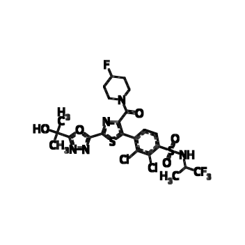 CC(NS(=O)(=O)c1ccc(-c2sc(-c3nnc(C(C)(C)O)o3)nc2C(=O)N2CCC(F)CC2)c(Cl)c1Cl)C(F)(F)F